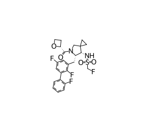 O=C([C@H]1CCO1)N1CC2(CC2)[C@H](NS(=O)(=O)CF)[C@@H]1Cc1cc(F)cc(-c2ccccc2F)c1F